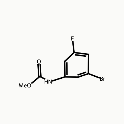 COC(=O)Nc1cc(F)cc(Br)c1